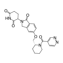 O=C1CCC(N2Cc3cc(OC[C@H]4CCCCN4C(=O)c4ccnnc4)ccc3C2=O)C(=O)N1